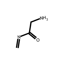 C=NC(=O)CN